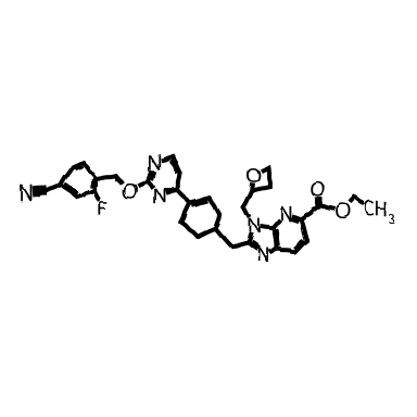 CCOC(=O)c1ccc2nc(CC3CC=C(c4ccnc(OCc5ccc(C#N)cc5F)n4)CC3)n(CC3CCO3)c2n1